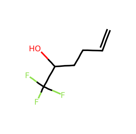 C=CCCC(O)C(F)(F)F